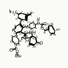 Cc1cc(F)cc(-c2cnc(N3CCN(C(=O)OC(C)(C)C)CC3)c(-c3nc4ccc(Cl)cc4[nH]3)c2N2CCC(NC(=O)OCc3ccccc3)CC2)c1